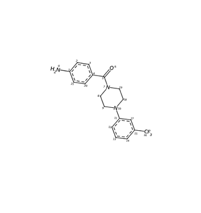 Nc1ccc(C(=O)N2CCN(c3cccc(C(F)(F)F)c3)CC2)cc1